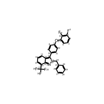 Fc1cccc(Oc2ccc(-c3c4cccc(C(F)(F)F)c4nn3Cc3ccccc3)cc2)c1F